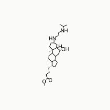 COC(=O)CCC[C@H]1CCC2C3CC(O)[C@H]4C[C@H](NCCNC(C)C)CC[C@]4(C)C3CC[C@@]21C